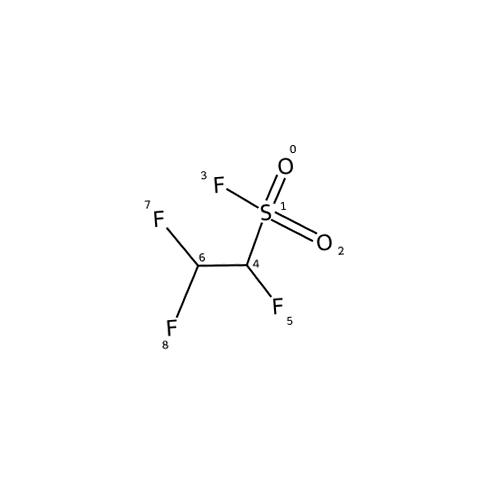 O=S(=O)(F)C(F)C(F)F